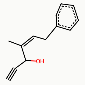 C#CC(O)C(C)=CCc1ccccc1